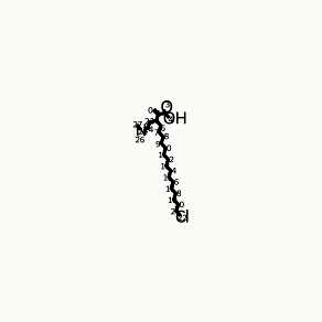 C=C(C(=O)O)C(CCCCCCCCCCCCCCCCCl)CCN(C)C